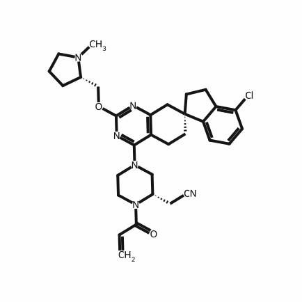 C=CC(=O)N1CCN(c2nc(OC[C@@H]3CCCN3C)nc3c2CC[C@@]2(CCc4c(Cl)cccc42)C3)C[C@@H]1CC#N